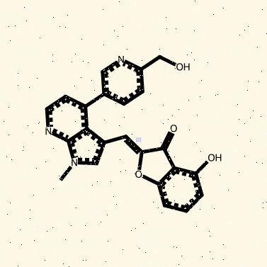 Cn1cc(/C=C2\Oc3cccc(O)c3C2=O)c2c(-c3ccc(CO)nc3)ccnc21